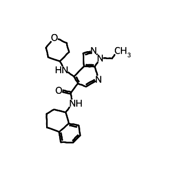 CCn1ncc2c(NC3CCOCC3)c(C(=O)NC3CCCc4ccccc43)cnc21